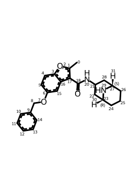 Cc1oc2ccc(OCc3ccccc3)cc2c1C(=O)NC1C[C@H]2CCC[C@@H](C1)N2